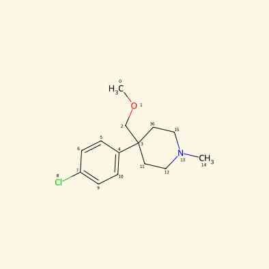 COCC1(c2ccc(Cl)cc2)CCN(C)CC1